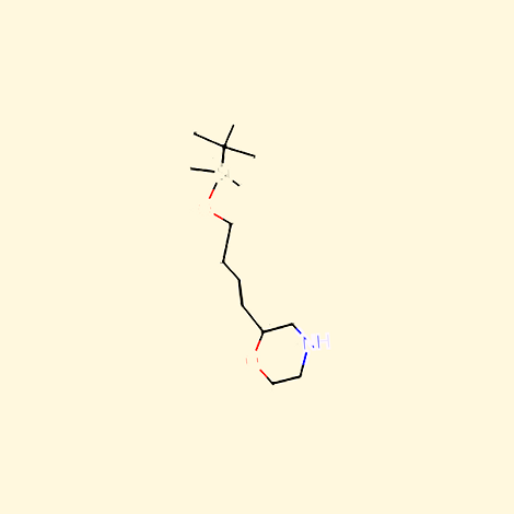 CC(C)(C)[Si](C)(C)OCCCCC1CNCCO1